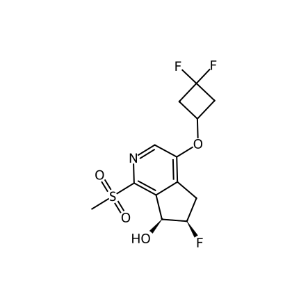 CS(=O)(=O)c1ncc(OC2CC(F)(F)C2)c2c1[C@H](O)[C@H](F)C2